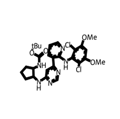 COc1cc(OC)c(Cl)c(Nc2ncccc2-c2cc(NC3CCCC3NC(=O)OC(C)(C)C)ncn2)c1Cl